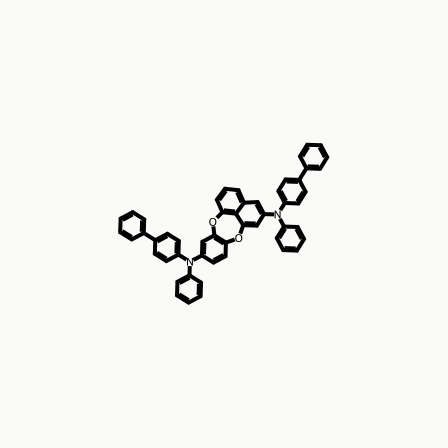 c1ccc(-c2ccc(N(c3ccccc3)c3ccc4c(c3)Oc3cccc5cc(N(c6ccccc6)c6ccc(-c7ccccc7)cc6)cc(c35)O4)cc2)cc1